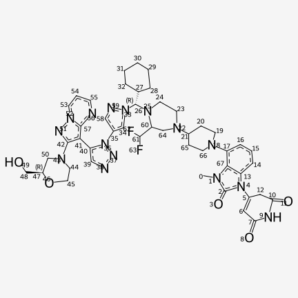 Cn1c(=O)n(C2=CC(=O)NC(=O)C2)c2cccc(N3CCC(N4CCN([C@@H](C5CCCCC5)n5cc(-n6nncc6-c6c(N7CCO[C@@H](CO)C7)nn7cccnc67)cn5)C(C(F)F)C4)CC3)c21